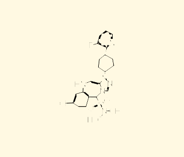 CN(C)S(=O)(=O)C1C2=C(C=C(Cl)CC2)NC=C2N1C=NN2[C@H]1CC[C@H](c2ncccc2F)CC1